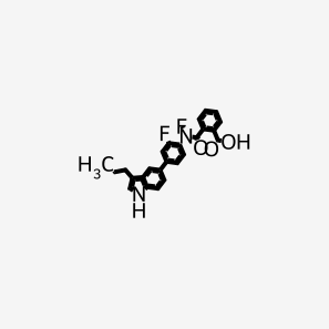 CCCc1c[nH]c2ccc(-c3ccc(N(F)C(=O)c4ccccc4C(=O)O)c(F)c3)cc12